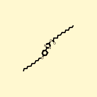 CCCCCCCCCCCC(=O)Oc1cnc(-c2ccc(OCCCCCCCCCC)cc2)nc1